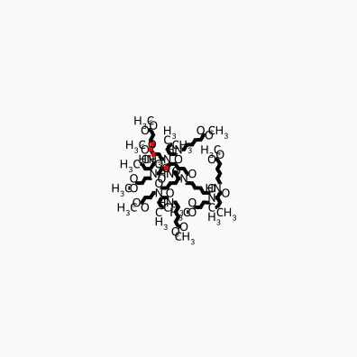 COC(=O)CCCCCNC(=O)C(CC(C)C)N(CCCC(=O)OC)C(=O)CCCCCN(C(=O)CCCC(=O)N(CCCC(=O)OC)C(CC(C)C)C(=O)NCCCCCC(=O)OC)C(CCCC(=O)N(CCCC(=O)OC)C(CC(C)C)C(=O)NCCCCCC(=O)OC)C(=O)NCCC(=O)N(CCCC(=O)OC)C(CC(C)C)C(=O)NCCCCCC(=O)OC